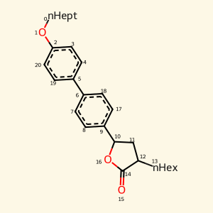 CCCCCCCOc1ccc(-c2ccc(C3CC(CCCCCC)C(=O)O3)cc2)cc1